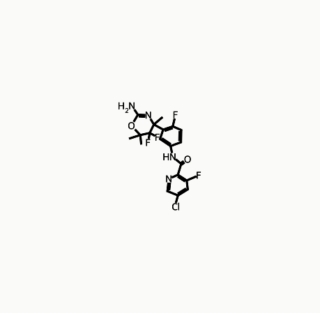 CC1(C)OC(N)=NC(C)(c2cc(NC(=O)c3ncc(Cl)cc3F)ccc2F)C1(F)F